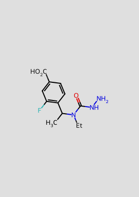 CCN(C(=O)NN)C(C)c1ccc(C(=O)O)cc1F